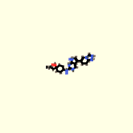 CCC1(O)CCC(Nc2ncc3c(-c4ccc5nncn5c4)c[nH]c3n2)CC1